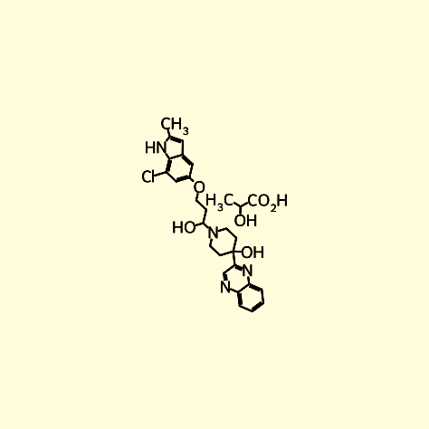 CC(O)C(=O)O.Cc1cc2cc(OCCC(O)N3CCC(O)(c4cnc5ccccc5n4)CC3)cc(Cl)c2[nH]1